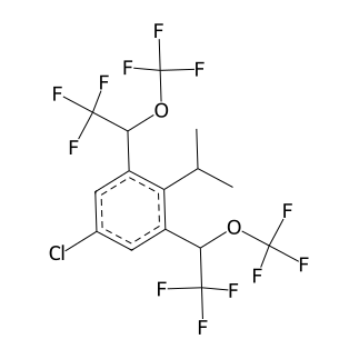 CC(C)c1c(C(OC(F)(F)F)C(F)(F)F)cc(Cl)cc1C(OC(F)(F)F)C(F)(F)F